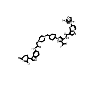 O=C1CCC(c2coc3ccc(NC(=O)CN4CCN(CC5CCC(n6cc(NC(=O)c7cnn8ccc(N9C[C@H]%10C[C@@H]9CO%10)nc78)c(C(F)F)n6)CC5)CC4)cc23)C(=O)N1